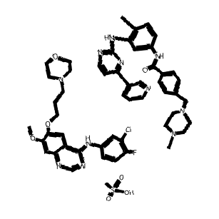 COc1cc2ncnc(Nc3ccc(F)c(Cl)c3)c2cc1OCCCN1CCOCC1.CS(=O)(=O)O.Cc1ccc(NC(=O)c2ccc(CN3CCN(C)CC3)cc2)cc1Nc1nccc(-c2cccnc2)n1